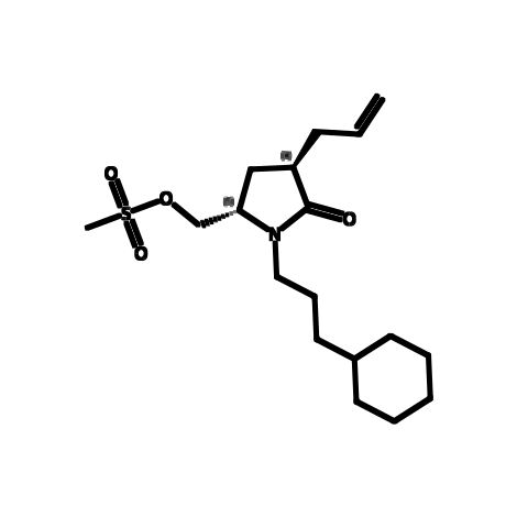 C=CC[C@@H]1C[C@@H](COS(C)(=O)=O)N(CCCC2CCCCC2)C1=O